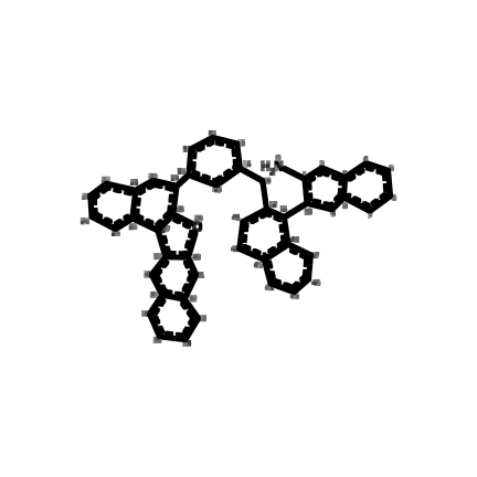 Nc1cc2ccccc2cc1-c1c(Cc2cccc(-c3cc4ccccc4c4c3oc3cc5ccccc5cc34)c2)ccc2ccccc12